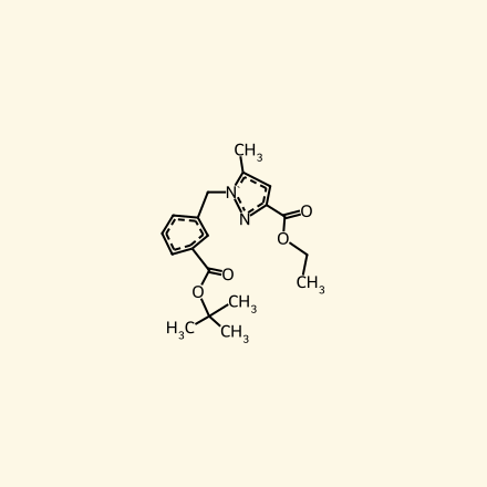 CCOC(=O)c1cc(C)n(Cc2cccc(C(=O)OC(C)(C)C)c2)n1